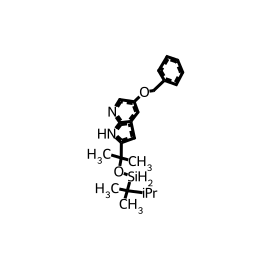 CC(C)C(C)(C)[SiH2]OC(C)(C)c1cc2cc(OCc3ccccc3)cnc2[nH]1